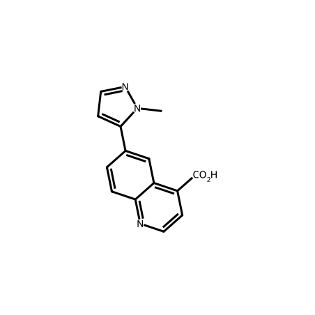 Cn1nccc1-c1ccc2nccc(C(=O)O)c2c1